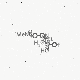 CCc1nc2ccc(C3CCN(CC(=O)NC)CC3)cn2c1N(C)c1nc(-c2ccc(F)cc2)c(CO)s1